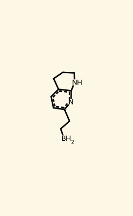 BCCc1ccc2c(n1)NCCC2